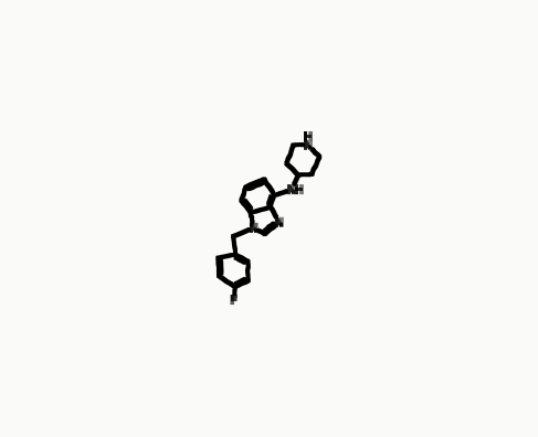 Fc1ccc(Cn2cnc3c(NC4CCNCC4)cccc32)cc1